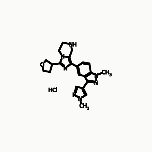 Cl.Cn1cc(-c2nn(C)c3ccc(-c4nc(C5CCOC5)n5c4CNCC5)cc23)cn1